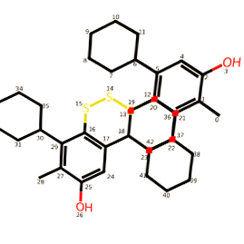 Cc1c(O)cc(C2CCCCC2)c(SSSc2c(C3CCCCC3)cc(O)c(C)c2C2CCCCC2)c1C1CCCCC1